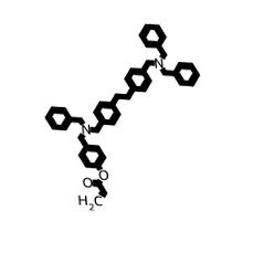 C=CC(=O)Oc1ccc(CN(Cc2ccccc2)Cc2ccc(CCc3ccc(CN(Cc4ccccc4)Cc4ccccc4)cc3)cc2)cc1